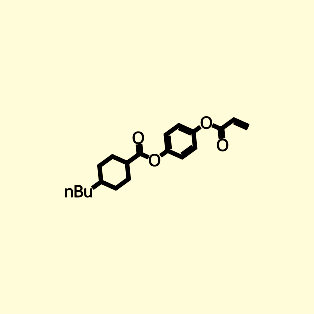 C=CC(=O)Oc1ccc(OC(=O)C2CCC(CCCC)CC2)cc1